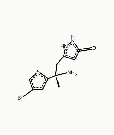 C[C@](N)(Cc1cc(=O)[nH][nH]1)c1cc(Br)cs1